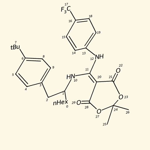 CCCCCCC(Cc1ccc(C(C)(C)C)cc1)NC(Nc1ccc(C(F)(F)F)cc1)=C1C(=O)OC(C)(C)OC1=O